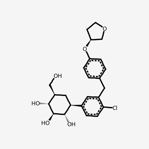 OC[C@H]1C[C@@H](c2ccc(Cl)c(Cc3ccc(O[C@H]4CCOC4)cc3)c2)[C@H](O)[C@@H](O)[C@@H]1O